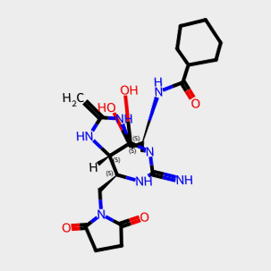 C=C1N[C@H]2[C@H](CN3C(=O)CCC3=O)NC(=N)N3C[C@H](NC(=O)C4CCCCC4)C(O)(O)[C@]23N1